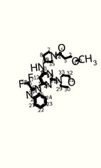 COCCC(=O)N1CC[C@H](Nc2cc(-n3c(C(F)F)nc4ccccc43)nc(N3CCOCC3)n2)C1